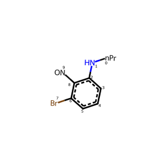 CCCNc1cccc(Br)c1N=O